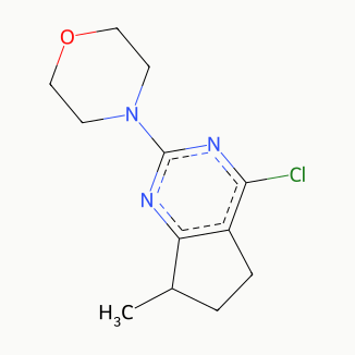 CC1CCc2c(Cl)nc(N3CCOCC3)nc21